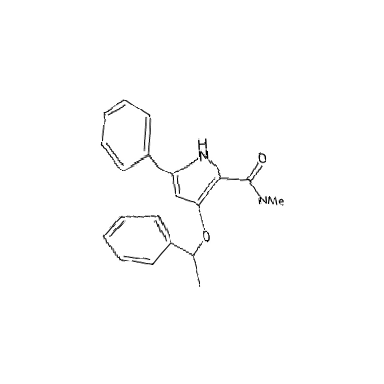 CNC(=O)c1[nH]c(-c2ccccc2)cc1OC(C)c1ccccc1